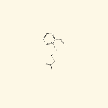 C=C(C)CCNc1ccccc1C=N